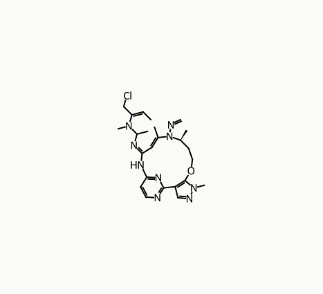 C=NN1/C(C)=C/C(=N\C(C)N(C)/C(=C\C)CCl)Nc2ccnc(n2)-c2cnn(C)c2OCC[C@@H]1C